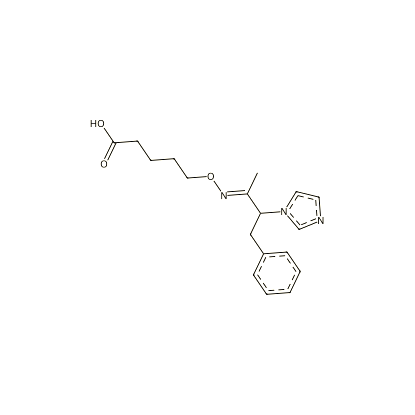 CC(=NOCCCCC(=O)O)C(Cc1ccccc1)n1ccnc1